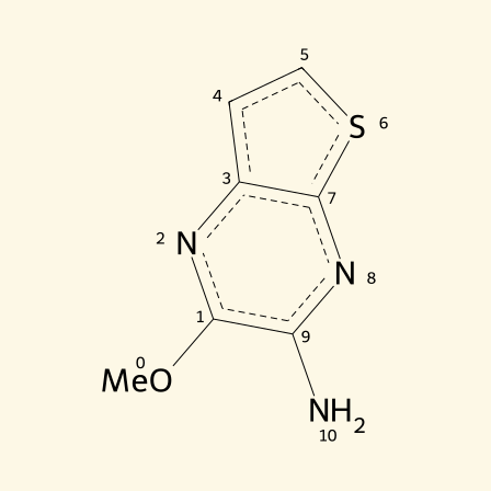 COc1nc2ccsc2nc1N